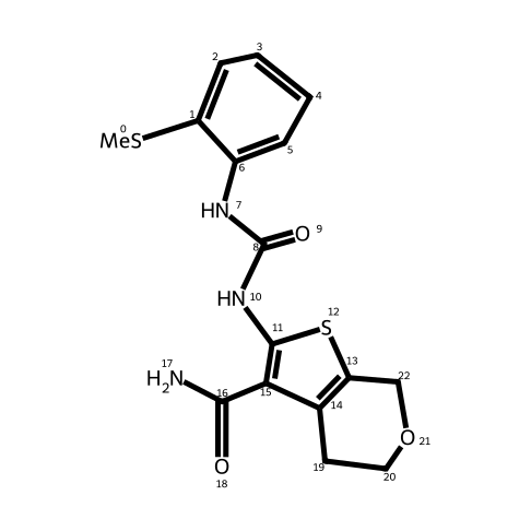 CSc1ccccc1NC(=O)Nc1sc2c(c1C(N)=O)CCOC2